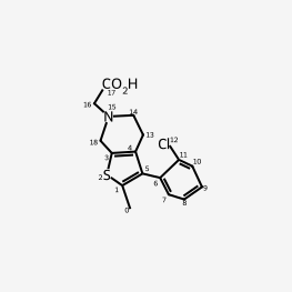 Cc1sc2c(c1-c1ccccc1Cl)CCN(CC(=O)O)C2